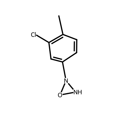 Cc1ccc(-n2[nH]o2)cc1Cl